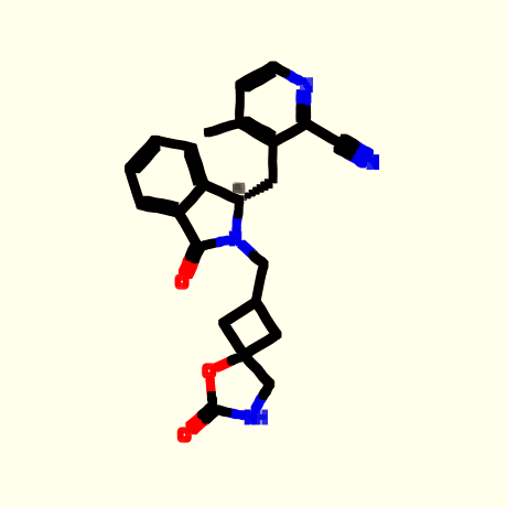 Cc1ccnc(C#N)c1C[C@H]1c2ccccc2C(=O)N1CC1CC2(CNC(=O)O2)C1